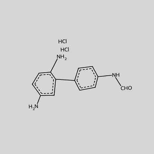 Cl.Cl.Nc1ccc(N)c(-c2ccc(NC=O)cc2)c1